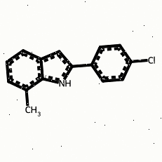 Cc1cccc2cc(-c3ccc(Cl)cc3)[nH]c12